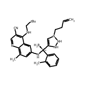 B[C@@](Nc1cc(C)c2ncc(C#N)c(NCC(C)(C)C)c2c1)(C1=CN(CCC=C)NN1)c1ccccc1C